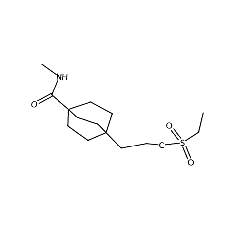 CCS(=O)(=O)CCCC12CCC(C(=O)NC)(CC1)CC2